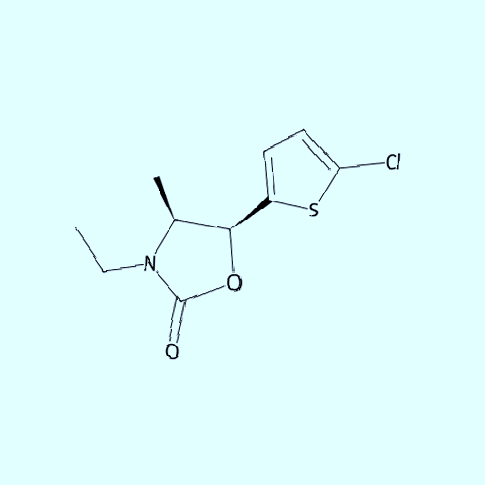 CCN1C(=O)O[C@H](c2ccc(Cl)s2)[C@@H]1C